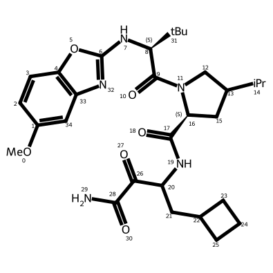 COc1ccc2oc(N[C@H](C(=O)N3CC(C(C)C)C[C@H]3C(=O)NC(CC3CCC3)C(=O)C(N)=O)C(C)(C)C)nc2c1